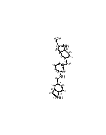 OCc1nc2cc(Nc3ccnc(NCc4ccc5[nH]ccc5c4)n3)ccc2[nH]1